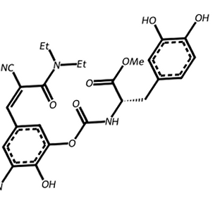 CCN(CC)C(=O)C(C#N)=Cc1cc(OC(=O)N[C@@H](Cc2ccc(O)c(O)c2)C(=O)OC)c(O)c([N+](=O)[O-])c1